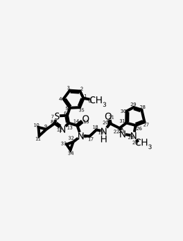 Cc1cccc(-c2sc(C3CC3)nc2C(=O)N(CCNC(=O)c2nn(C)c3ccccc23)C2CC2)c1